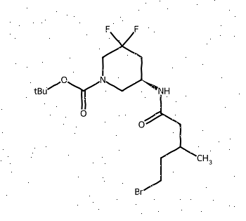 CC(CCBr)CC(=O)N[C@H]1CN(C(=O)OC(C)(C)C)CC(F)(F)C1